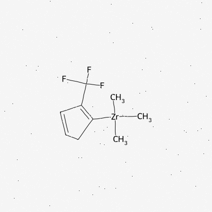 [CH3][Zr]([CH3])([CH3])[C]1=C(C(F)(F)F)C=CC1